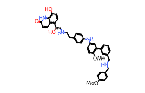 COc1ccc(CNCc2cccc(-c3cc(Nc4ccc(CCNC[C@H](O)c5ccc(O)c6[nH]c(=O)ccc56)cc4)ccc3OC)c2)cc1